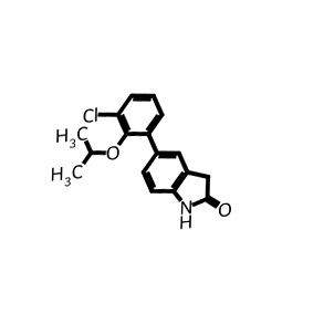 CC(C)Oc1c(Cl)cccc1-c1ccc2c(c1)CC(=O)N2